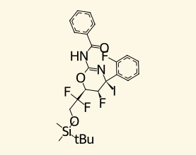 CC(C)(C)[Si](C)(C)OCC(F)(F)[C@H]1OC(NC(=O)c2ccccc2)=N[C@](I)(c2ccccc2F)[C@H]1F